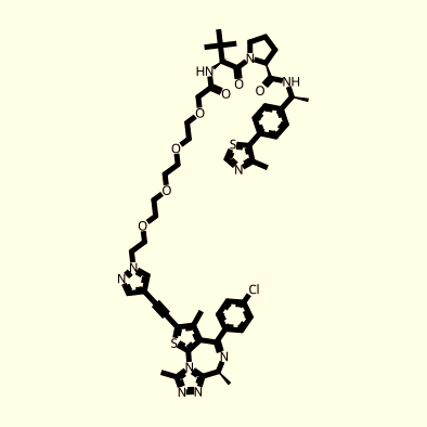 Cc1ncsc1-c1ccc([C@H](C)NC(=O)[C@@H]2CCCN2C(=O)[C@@H](NC(=O)COCCOCCOCCOCCn2cc(C#Cc3sc4c(c3C)C(c3ccc(Cl)cc3)=N[C@@H](C)c3nnc(C)n3-4)cn2)C(C)(C)C)cc1